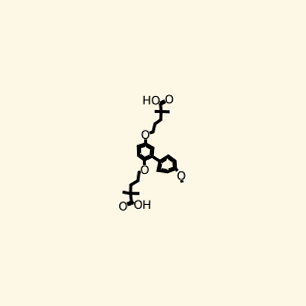 COc1ccc(-c2cc(OCCCC(C)(C)C(=O)O)ccc2OCCCC(C)(C)C(=O)O)cc1